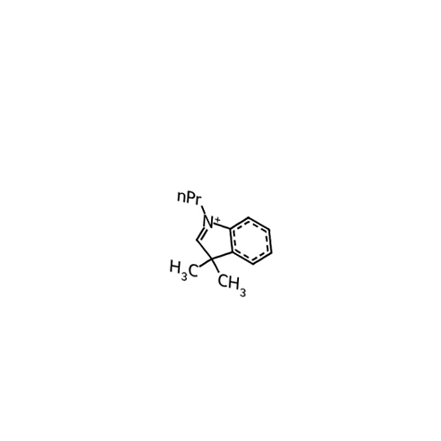 CCC[N+]1=CC(C)(C)c2ccccc21